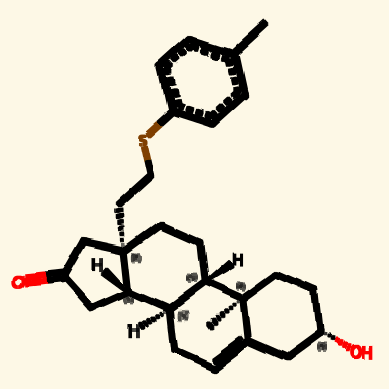 Cc1ccc(SCC[C@]23CC[C@H]4[C@@H](CC=C5C[C@@H](O)CC[C@@]54C)[C@@H]2CC(=O)C3)cc1